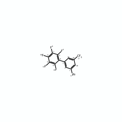 CC(C)c1cc(-c2c(F)c(F)c(F)c(F)c2F)cc(C(F)(F)F)c1